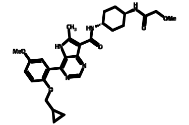 COCC(=O)N[C@H]1CC[C@H](NC(=O)c2c(C)[nH]c3c(-c4cc(OC)ccc4OCC4CC4)ncnc23)CC1